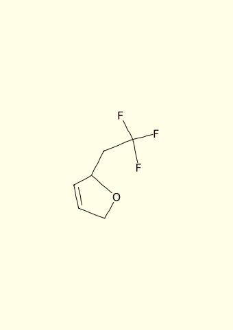 FC(F)(F)CC1C=CCO1